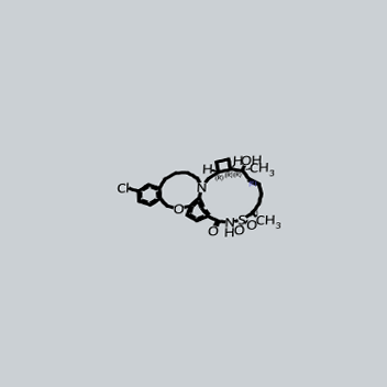 C[C@@H]1CC/C=C/[C@](C)(O)[C@@H]2CC[C@H]2CN2CCCCc3cc(Cl)ccc3COc3ccc(cc32)C(=O)NS1(=O)=O